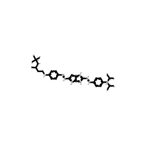 CC(CCOc1ccc(/N=N/c2cc3sc(/N=N/c4ccc(N(C(C)C)C(C)C)cc4)nc3s2)cc1)CC(C)(C)C